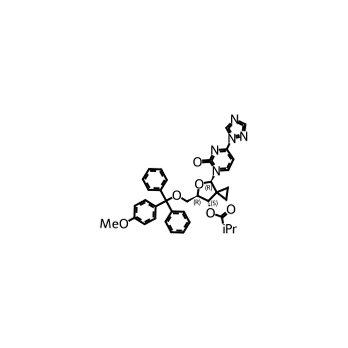 COc1ccc(C(OC[C@H]2O[C@@H](n3ccc(-n4cncn4)nc3=O)C3(CC3)[C@@H]2OC(=O)C(C)C)(c2ccccc2)c2ccccc2)cc1